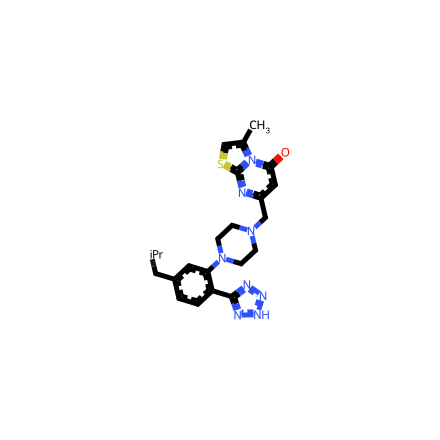 Cc1csc2nc(CN3CCN(c4cc(CC(C)C)ccc4-c4nn[nH]n4)CC3)cc(=O)n12